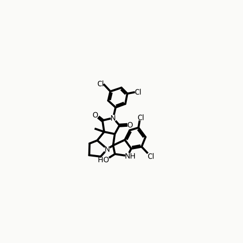 CC12C(=O)N(c3cc(Cl)cc(Cl)c3)C(=O)C1C1(c3cc(Cl)cc(Cl)c3NC1O)N1CCCC12